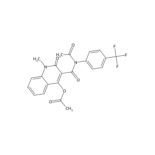 CC(=O)Oc1c(C(=O)N(C(C)=O)c2ccc(C(F)(F)F)cc2)c(=O)n(C)c2ccccc12